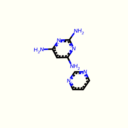 Nc1cc(N)nc(N)n1.c1cncnc1